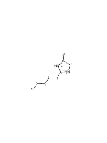 CCCCCC1=NCC(C)N1